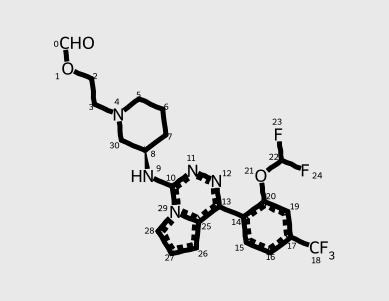 O=COCCN1CCC[C@@H](Nc2nnc(-c3ccc(C(F)(F)F)cc3OC(F)F)c3cccn23)C1